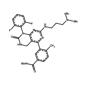 CCCCN(CCCC)CCCNc1nc(-c2cc(C(=O)NC)ccc2C)c2c(n1)N(c1c(F)cccc1F)C(=O)NC2